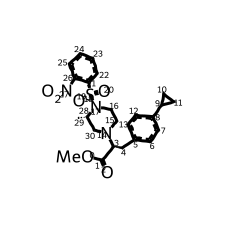 COC(=O)[C@H](Cc1ccc(C2CC2)cc1)N1CCN(S(=O)(=O)c2ccccc2[N+](=O)[O-])[C@@H](C)C1